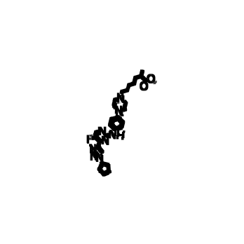 COC(=O)C(C)CCCCCN1CCN(c2ccc(Nc3ncc(F)c(-c4cn(C5CCCC5)nn4)n3)cc2)CC1